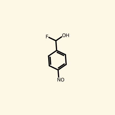 O=Nc1ccc(C(O)F)cc1